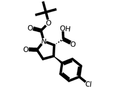 CC(C)(C)OC(=O)N1C(=O)C[C@H](c2ccc(Cl)cc2)[C@H]1C(=O)O